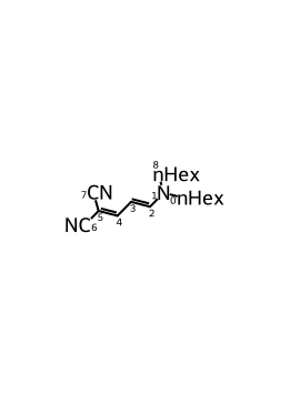 CCCCCCN(/C=C/C=C(C#N)C#N)CCCCCC